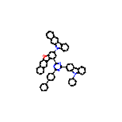 c1ccc(-c2ccc(-c3nc(-c4ccc5c6ccccc6n(-c6ccccc6)c5c4)nc(-c4cc(-n5c6ccccc6c6cc7ccccc7cc65)cc5oc6cc7ccccc7cc6c45)n3)cc2)cc1